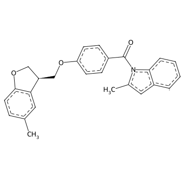 Cc1ccc2c(c1)[C@H](COc1ccc(C(=O)n3c(C)cc4[c]cccc43)cc1)CO2